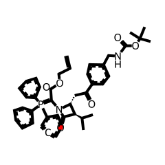 C=CCOC(=O)C(N1C(=O)[C@H](C(C)C)[C@H]1CC(=O)c1ccc(CNC(=O)OC(C)(C)C)cc1)=P(c1ccccc1)(c1ccccc1)c1ccccc1